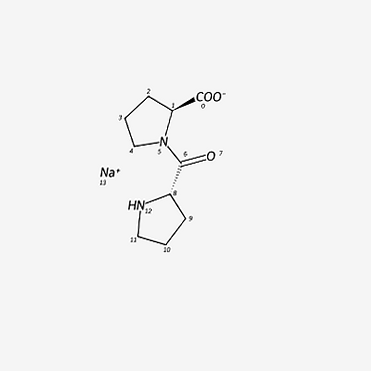 O=C([O-])[C@@H]1CCCN1C(=O)[C@@H]1CCCN1.[Na+]